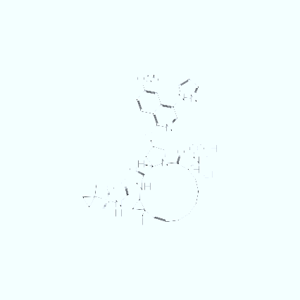 CC[C@@H]1C[C@H](C)CC/C=C\[C@@H]2C[C@@]2(C(=O)NS(=O)(=O)C2(C)CC2)NC(=O)[C@@H]2C[C@@H](Oc3ncc(-n4cccn4)c4cc(OC)ccc34)CN2C(=O)[C@H]1NC(=O)O